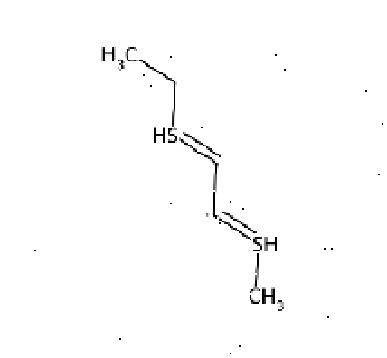 CC[SH]=C[C]=[SH]C